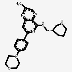 Cc1cnc2c(NC[C@H]3CCCNC3)nc(-c3ccc(N4CCOCC4)cc3)cc2n1